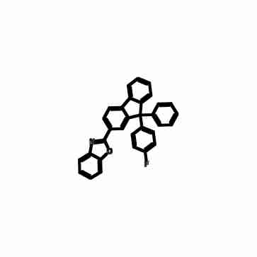 Fc1ccc(C2(c3ccccc3)c3ccccc3-c3ccc(-c4nc5ccccc5o4)cc32)cc1